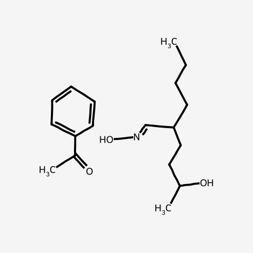 CC(=O)c1ccccc1.CCCCC(C=NO)CCC(C)O